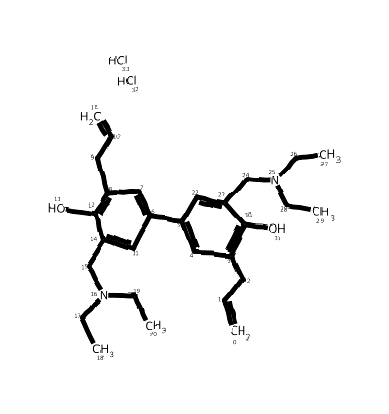 C=CCc1cc(-c2cc(CC=C)c(O)c(CN(CC)CC)c2)cc(CN(CC)CC)c1O.Cl.Cl